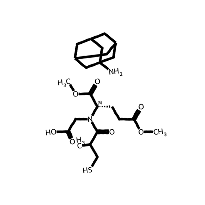 COC(=O)CC[C@@H](C(=O)OC)N(CC(=O)O)C(=O)C(C)CS.NC12CC3CC(CC(C3)C1)C2